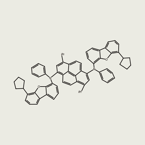 CC(C)c1cc(N(c2ccccc2)c2cccc3c2oc2c(C4CCCC4)cccc23)c2ccc3c(C(C)C)cc(N(c4ccccc4)c4cccc5c4oc4c(C6CCCC6)cccc45)c4ccc1c2c34